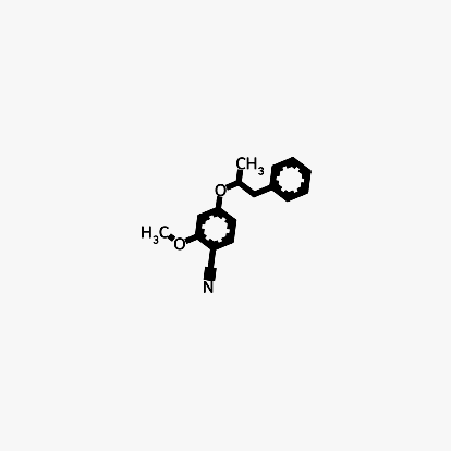 COc1cc(OC(C)Cc2ccccc2)ccc1C#N